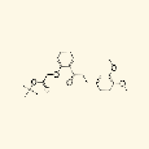 COc1ccc(CCC(=O)c2ccccc2OCC(=O)OC(C)(C)C)cc1OC